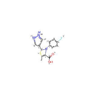 CC1=C(C(=O)O)N(c2ccc(F)cc2)C(c2cn[nH]c2)S1